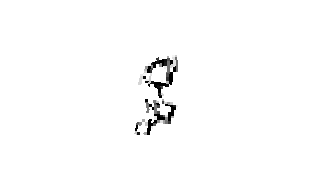 Clc1ccn(-c2cnccn2)n1